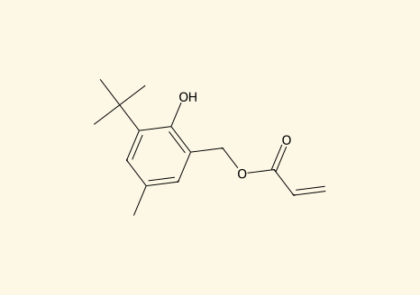 C=CC(=O)OCc1cc(C)cc(C(C)(C)C)c1O